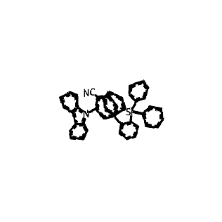 N#Cc1ccc(-c2ccccc2[Si](c2ccccc2)(c2ccccc2)c2ccccc2)cc1-n1c2ccccc2c2ccccc21